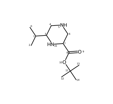 CC(C)C1CNCC(C(=O)OC(C)(C)C)N1